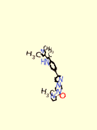 Cc1cc(-c2[nH]c3cc(-c4ccc(N5CCN(C(=O)[C@@H]6CCCN6C)CC5)nc4)ccc3c2C)cc(C)n1